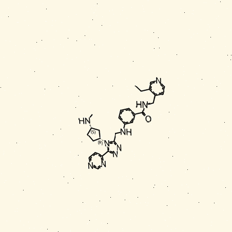 CCc1cnccc1CNC(=O)c1cccc(NCc2nnc(-c3ccncn3)n2[C@@H]2CC[C@H](NC)C2)c1